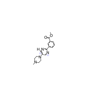 C=C(/N=C\C(=C/N)N1CCN(C)CC1)c1cccc(C(=O)OC)c1